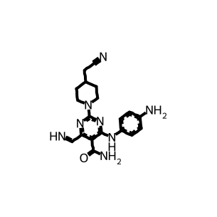 N#CCC1CCN(c2nc(C=N)c(C(N)=O)c(Nc3ccc(N)cc3)n2)CC1